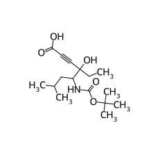 CCC(O)(C#CC(=O)O)C(CC(C)C)NC(=O)OC(C)(C)C